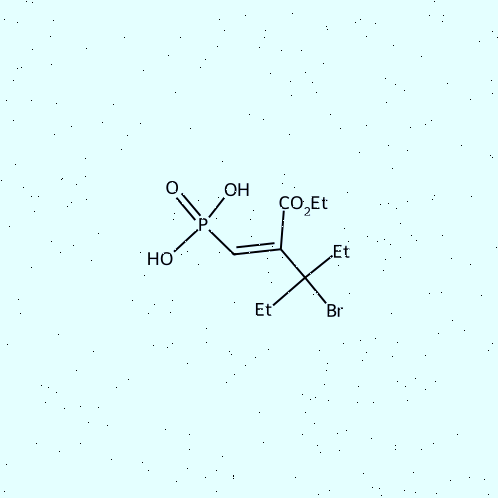 CCOC(=O)C(=CP(=O)(O)O)C(Br)(CC)CC